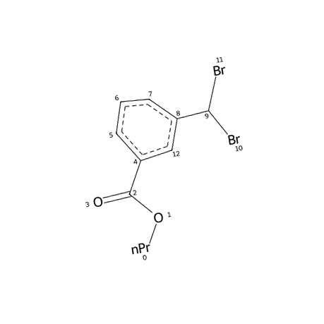 CCCOC(=O)c1cccc(C(Br)Br)c1